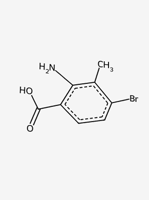 Cc1c(Br)ccc(C(=O)O)c1N